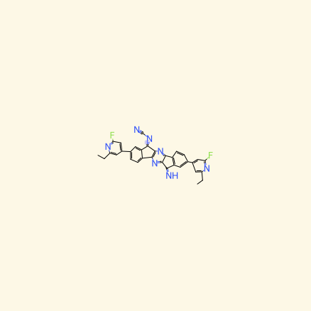 CCc1cc(-c2ccc3c(c2)c(=N)c2nc4c(nc23)/c(=N/C#N)c2cc(-c3cc(F)nc(CC)c3)ccc24)cc(F)n1